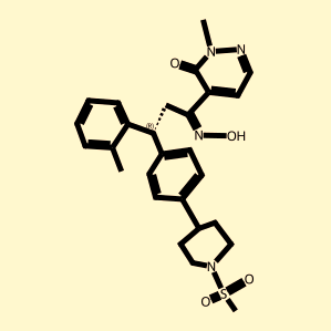 Cc1ccccc1[C@H](CC(=NO)c1ccnn(C)c1=O)c1ccc(C2CCN(S(C)(=O)=O)CC2)cc1